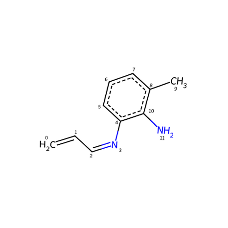 C=C/C=N\c1cccc(C)c1N